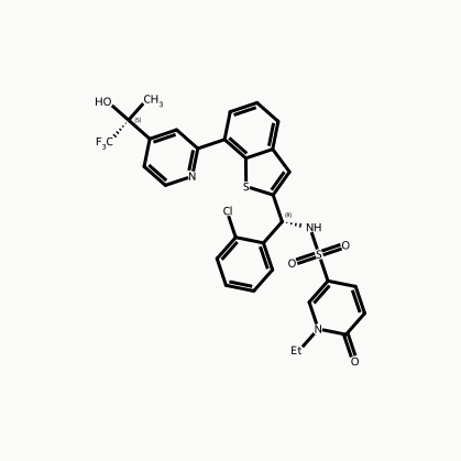 CCn1cc(S(=O)(=O)N[C@@H](c2cc3cccc(-c4cc([C@](C)(O)C(F)(F)F)ccn4)c3s2)c2ccccc2Cl)ccc1=O